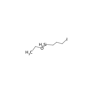 CCO[SiH2]CCCI